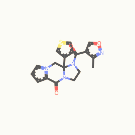 Cc1nocc1C(=O)N1CCN2C(=O)c3cccn3CC12c1ccsc1